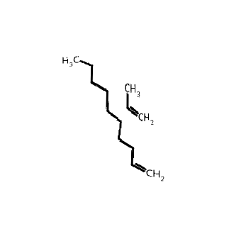 C=CC.C=CCCCCCCCC